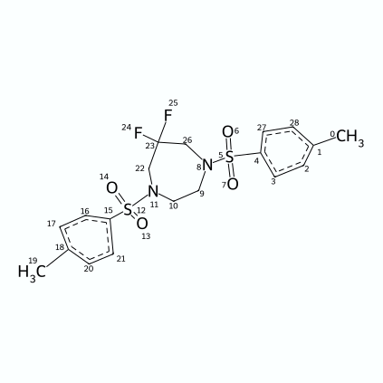 Cc1ccc(S(=O)(=O)N2CCN(S(=O)(=O)c3ccc(C)cc3)CC(F)(F)C2)cc1